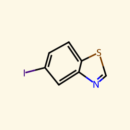 Ic1ccc2scnc2c1